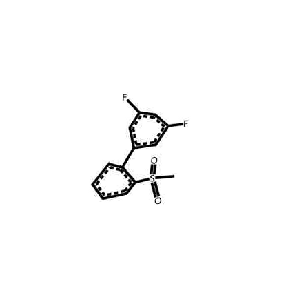 CS(=O)(=O)c1ccc[c]c1-c1cc(F)cc(F)c1